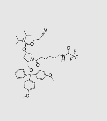 COc1ccc(C(OC[C@@H]2C[C@@H](OP(OCCC#N)N(C(C)C)C(C)C)CN2C(=O)CCCCCNC(=O)C(F)(F)F)(c2ccccc2)c2ccc(OC)cc2)cc1